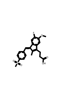 COc1cc2c(cc1F)C(=Cc1ccc(S(C)(=O)=O)cc1)C(C)=C2CCC(=O)O